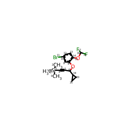 C[Si](C)(C)C#CC(Oc1cc(Br)ccc1OC(F)F)C1CC1